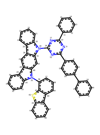 c1ccc(-c2ccc(-c3nc(-c4ccccc4)nc(-n4c5ccccc5c5cc6c7ccccc7n(-c7cccc8c7sc7ccccc78)c6cc54)n3)cc2)cc1